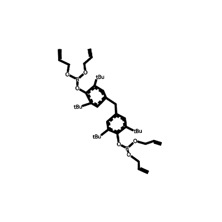 C=CCOB(OCC=C)Oc1c(C(C)(C)C)cc(Cc2cc(C(C)(C)C)c(OB(OCC=C)OCC=C)c(C(C)(C)C)c2)cc1C(C)(C)C